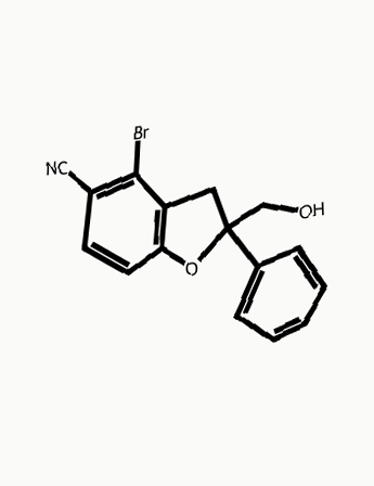 N#Cc1ccc2c(c1Br)CC(CO)(c1ccccc1)O2